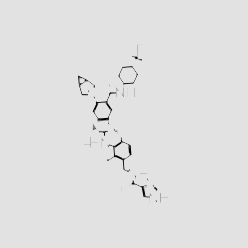 Cn1c(Nc2c(Cl)ccc(CNC(=O)c3c[nH]cn3)c2Cl)nc2cc(C(=O)N[C@H]3CC[C@H](C(F)(F)F)CC3)c(N3CC4CC4C3)cc21